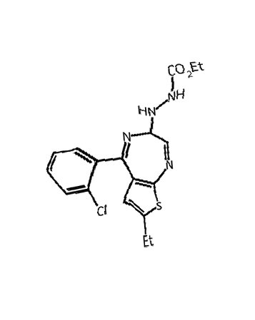 CCOC(=O)NNC1C=Nc2sc(CC)cc2C(c2ccccc2Cl)=N1